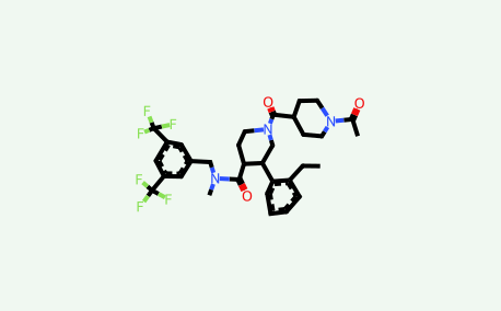 CCc1ccccc1C1CN(C(=O)C2CCN(C(C)=O)CC2)CCC1C(=O)N(C)Cc1cc(C(F)(F)F)cc(C(F)(F)F)c1